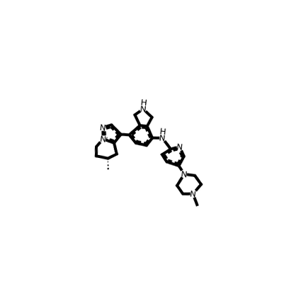 C[C@@H]1CCn2ncc(-c3ccc(Nc4ccc(N5CCN(C)CC5)cn4)c4c3CNC4)c2C1